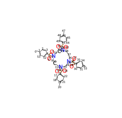 Cc1ccc(S(=O)(=O)N2CCCN(S(=O)(=O)c3ccc(C)cc3)CCN(S(=O)(=O)c3ccc(C)cc3)CCCN(S(=O)(=O)c3ccc(C)cc3)CC2)cc1